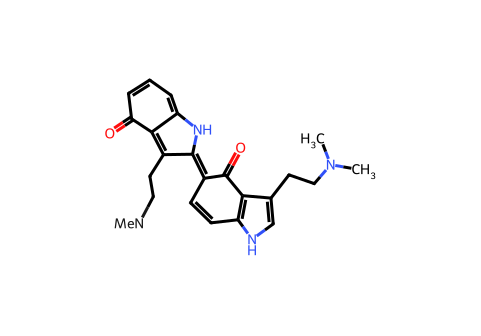 CNCCc1c2c([nH]c1=C1C=Cc3[nH]cc(CCN(C)C)c3C1=O)=CC=CC2=O